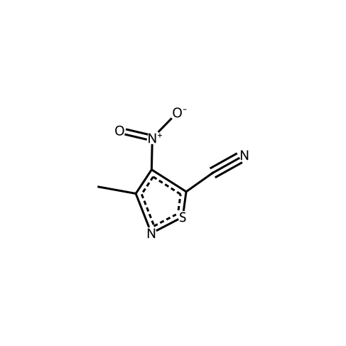 Cc1nsc(C#N)c1[N+](=O)[O-]